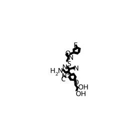 [C-]#[N+]c1c(N)nc(SCc2coc(-c3cccc(F)c3)n2)c(C#N)c1-c1ccc(OC[C@@H](O)CO)cc1